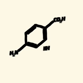 Nc1ccc(C(=O)O)cc1.[KH]